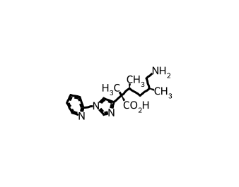 C[C@H](CN)C[C@H](C)[C@](C)(C(=O)O)c1cn(-c2ccccn2)cn1